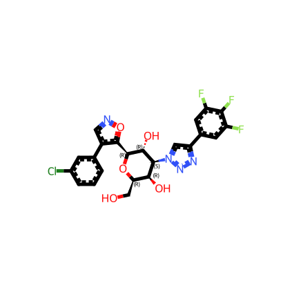 OC[C@H]1O[C@@H](c2oncc2-c2cccc(Cl)c2)[C@H](O)[C@@H](n2cc(-c3cc(F)c(F)c(F)c3)nn2)[C@H]1O